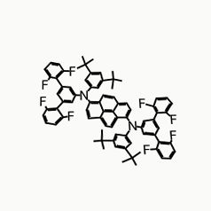 CC(C)(C)c1cc(N(c2cc(-c3c(F)cccc3F)cc(-c3c(F)cccc3F)c2)c2ccc3ccc4c(N(c5cc(-c6c(F)cccc6F)cc(-c6c(F)cccc6F)c5)c5cc(C(C)(C)C)cc(C(C)(C)C)c5)ccc5ccc2c3c54)cc(C(C)(C)C)c1